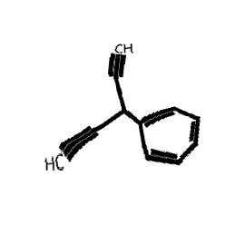 C#CC(C#C)c1ccccc1